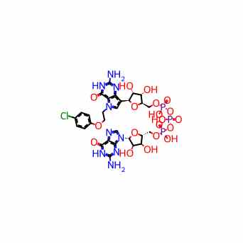 Nc1nc2c(ncn2[C@@H]2O[C@H](COP(=O)(O)OP(=O)(O)OP(=O)(O)OC[C@H]3O[C@@H](c4cn(CCOc5ccc(Cl)cc5)c5c(=O)[nH]c(N)nc45)[C@H](O)[C@@H]3O)[C@@H](O)[C@H]2O)c(=O)[nH]1